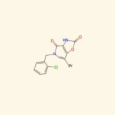 CC(C)c1cn(Cc2ccccc2Cl)c(=O)c2[nH]c(=O)oc12